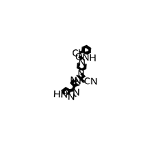 N#CCC1(n2cc(-c3ncnc4[nH]ccc34)cn2)CN(C2CCN(C(=O)Nc3ccccc3Cl)CC2)C1